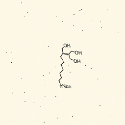 CCCCCCCCCCCCCCCCC(CO)=C(CO)CO